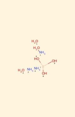 N.N.N.O.O.O.OB(O)O